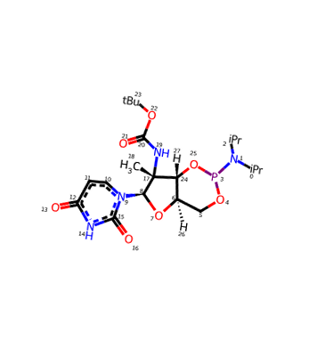 CC(C)N(C(C)C)P1OC[C@H]2O[C@@H](n3ccc(=O)[nH]c3=O)[C@](C)(NC(=O)OC(C)(C)C)[C@@H]2O1